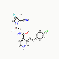 N#C[C@H]1N(C(=O)CNC(=O)c2ccncc2/C=C/c2ccc(Cl)cc2)CC1(F)F